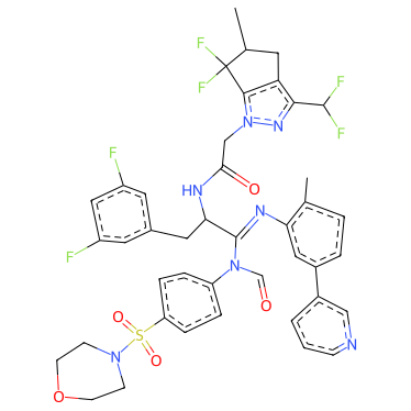 Cc1ccc(-c2cccnc2)cc1/N=C(/C(Cc1cc(F)cc(F)c1)NC(=O)Cn1nc(C(F)F)c2c1C(F)(F)C(C)C2)N(C=O)c1ccc(S(=O)(=O)N2CCOCC2)cc1